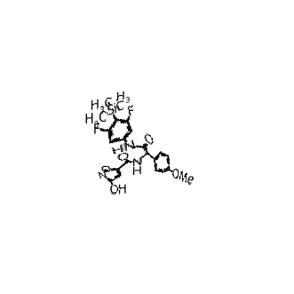 COc1ccc(C(NC(=O)c2cc(O)no2)C(=O)Nc2cc(F)c([Si](C)(C)C)c(F)c2)cc1